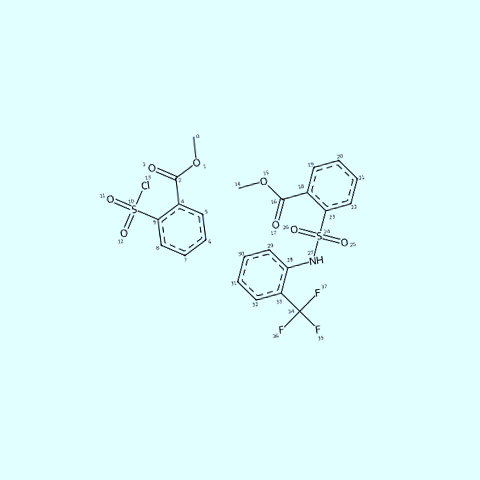 COC(=O)c1ccccc1S(=O)(=O)Cl.COC(=O)c1ccccc1S(=O)(=O)Nc1ccccc1C(F)(F)F